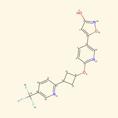 Oc1cc(-c2ccc(OC3CC(c4ccc(C(F)(F)F)cn4)C3)nc2)on1